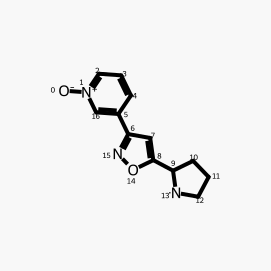 [O-][n+]1cccc(-c2cc(C3CCC[N]3)on2)c1